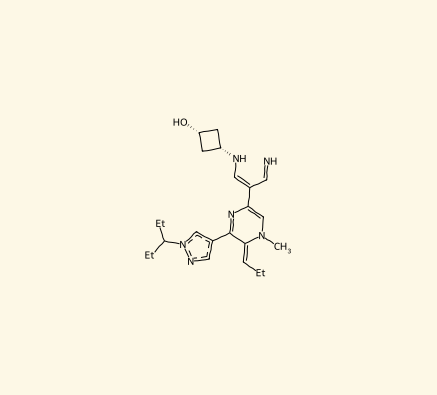 CC/C=C1/C(c2cnn(C(CC)CC)c2)=NC(/C(C=N)=C/N[C@H]2C[C@@H](O)C2)=CN1C